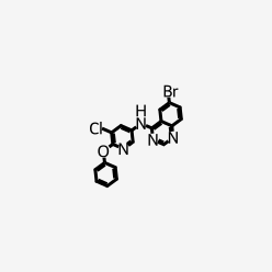 Clc1cc(Nc2ncnc3ccc(Br)cc23)cnc1Oc1ccccc1